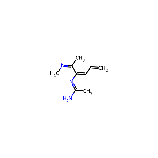 C=C/C=C(/N=C(\C)N)C(\C)=N/C